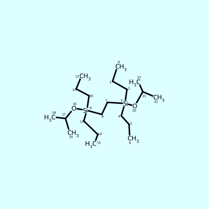 CCC[Si](CCC)(CC[Si](CCC)(CCC)OC(C)C)OC(C)C